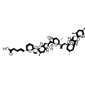 C=C(C[C@]12C[C@@H](C)C[C@H](O1)[C@H]1O[C@]3(C[C@H]1O2)NC[C@H](C)C[C@@H]3C)[C@H]1O[C@@](O)([C@H](O)[C@@H]2C[C@H]3O[C@@]4(CC[C@]5(CC=C[C@@H](/C=C/CCC(=O)O)O5)O4)[C@H](C)C[C@H]3O2)[C@H](C)C[C@@H]1C